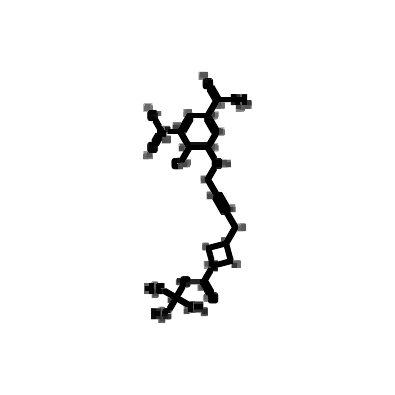 CC(C)(C)OC(=O)N1CC(CC#CCOc2cc(C(N)=O)cc([N+](=O)[O-])c2Cl)C1